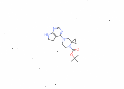 CC(C)(C)OC(=O)N1CCN(c2ncnc3c2CCN3)CC12CC2